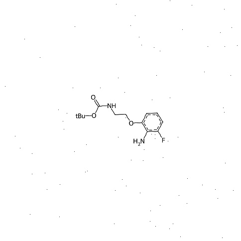 CC(C)(C)OC(=O)NCCOc1cccc(F)c1N